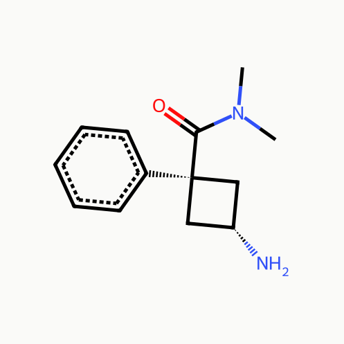 CN(C)C(=O)[C@]1(c2ccccc2)C[C@@H](N)C1